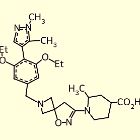 CCOc1cc(CN2CC3(CC(N4CCC(C(=O)O)CC4C)=NO3)C2)cc(OCC)c1-c1cnn(C)c1C